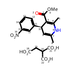 COC(=O)C1=C(C)NC(C)=C[C@H]1c1cccc([N+](=O)[O-])c1.O=C(O)CC(C(=O)O)C(=O)O